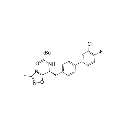 Cc1noc([C@H](Cc2ccc(-c3ccc(F)c(Cl)c3)cc2)NC(=O)C(C)(C)C)n1